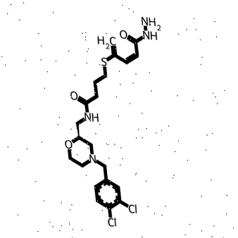 C=C(/C=C\C(=O)NN)SCCCC(=O)NC[C@H]1CN(Cc2ccc(Cl)c(Cl)c2)CCO1